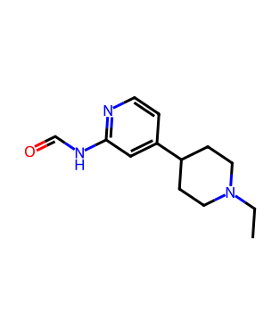 CCN1CCC(c2ccnc(NC=O)c2)CC1